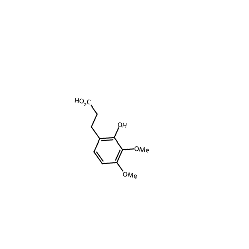 COc1ccc(CCC(=O)O)c(O)c1OC